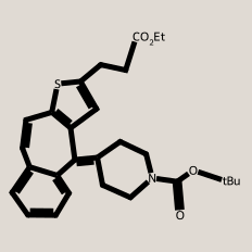 CCOC(=O)CCc1cc2c(s1)C=Cc1ccccc1C2=C1CCN(C(=O)OC(C)(C)C)CC1